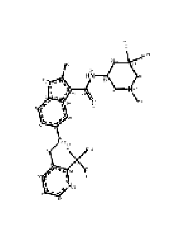 Cc1oc2ccc(OCc3cccnc3C(F)(F)F)cc2c1C(=O)NC1CN(C)CC(F)(F)C1